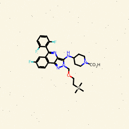 C[Si](C)(C)CCOCn1nc2c(nc(-c3c(F)cccc3F)c3cc(F)ccc32)c1NC1CCN(C(=O)O)CC1